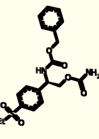 CCS(=O)(=O)c1ccc([C@H](COC(N)=O)NC(=O)OCc2ccccc2)cc1